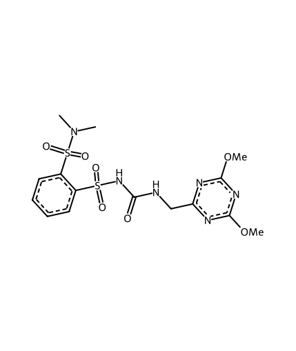 COc1nc(CNC(=O)NS(=O)(=O)c2ccccc2S(=O)(=O)N(C)C)nc(OC)n1